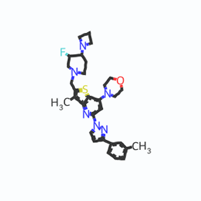 Cc1cccc(-c2ccn(-c3cc(N4CCOCC4)c4sc(CN5CCC(N6CCC6)C(F)C5)c(C)c4n3)n2)c1